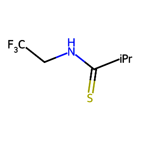 CC(C)C(=S)NCC(F)(F)F